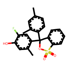 Cc1ccc(C2(c3cc(F)c(O)cc3C)OS(=O)(=O)c3ccccc32)c(C)c1